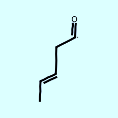 CC=CC[C]=O